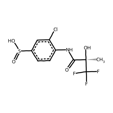 C[C@@](O)(C(=O)Nc1ccc(S(=O)O)cc1Cl)C(F)(F)F